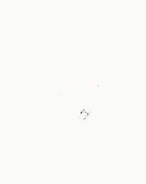 [AsH3].[CH2]CCOC(=O)C(=C)C